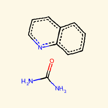 NC(N)=O.c1ccc2ncccc2c1